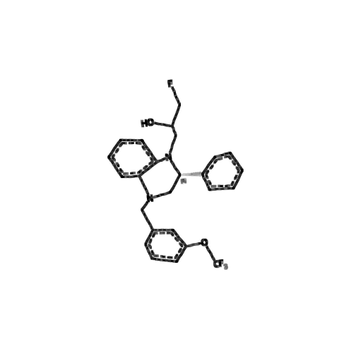 OC(CF)CN1c2ccccc2N(Cc2cccc(OC(F)(F)F)c2)C[C@H]1c1ccccc1